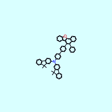 CC1(C)c2ccccc2-c2ccc(N(c3ccc(-c4ccc(-c5c(-c6ccccc6)c6ccccc6c6oc7ccccc7c56)cc4)cc3)c3ccc4c(c3)C(C)(C)c3ccccc3-4)cc21